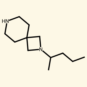 CCCC(C)N1CC2(CCNCC2)C1